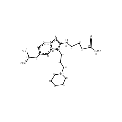 CCCCN(CCCC)Cc1ccc2nc(NCCCC(=O)OC)n(CCCN3CCCCC3)c2c1